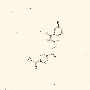 O=C(CCc1cc2ccc(F)cc2c(=O)[nH]1)N1CCN(C(=O)C2CC2)CC1